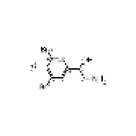 NC[C@H](O)c1cc(Br)c(Br)c(Br)c1